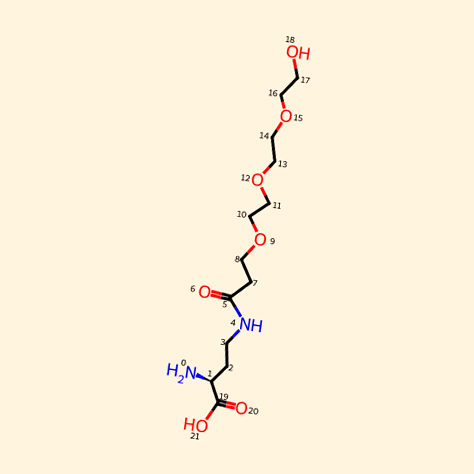 N[C@@H](CCNC(=O)CCOCCOCCOCCO)C(=O)O